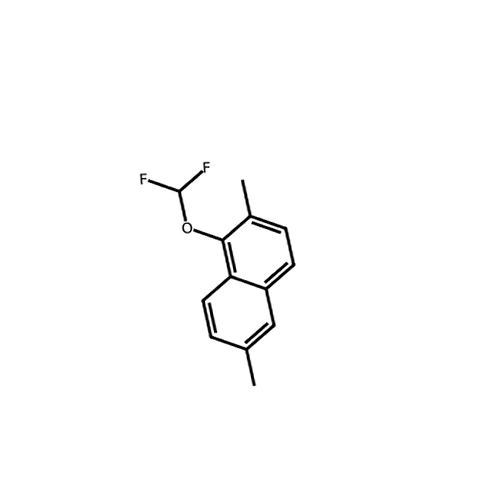 Cc1ccc2c(OC(F)F)c(C)ccc2c1